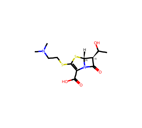 CC(O)[C@H]1C(=O)N2C(C(=O)O)=C(SCCN(C)C)S[C@H]12